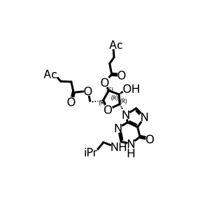 CC(=O)CCC(=O)OC[C@H]1O[C@@H](n2cnc3c(=O)[nH]c(NCC(C)C)nc32)[C@H](O)[C@@H]1OC(=O)CCC(C)=O